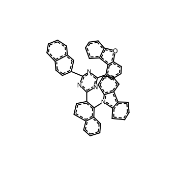 c1ccc2cc(-c3nc(-c4ccc5ccccc5c4-n4c5ccccc5c5ccccc54)nc(-c4cccc5oc6ccccc6c45)n3)ccc2c1